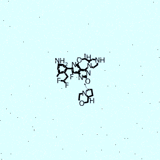 Cc1cc(N)cc(-c2nc3c4c(nc(OC[C@@H]5CC[C@H]6COCCN65)nc4c2F)N2CCNC[C@H]2[C@H](C)O3)c1CC(F)F